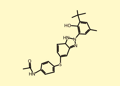 CC(=O)Nc1ccc(SC2=CC3=NN(c4cc(C)cc(C(C)(C)C)c4O)NC3C=C2)cc1